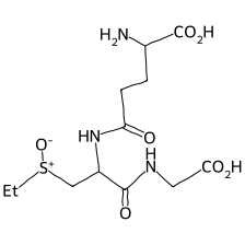 CC[S+]([O-])CC(NC(=O)CCC(N)C(=O)O)C(=O)NCC(=O)O